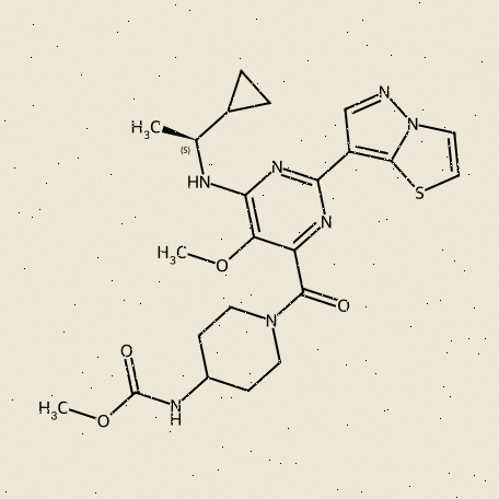 COC(=O)NC1CCN(C(=O)c2nc(-c3cnn4ccsc34)nc(N[C@@H](C)C3CC3)c2OC)CC1